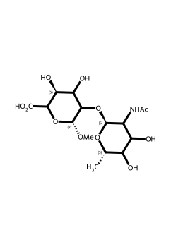 CO[C@@H]1OC(C(=O)O)[C@@H](O)C(O)C1O[C@@H]1O[C@@H](C)C(O)C(O)C1NC(C)=O